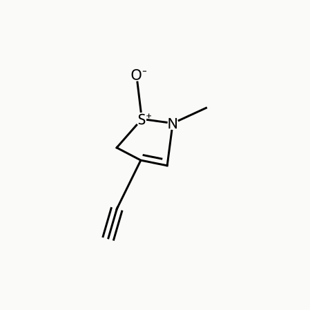 C#CC1=CN(C)[S+]([O-])C1